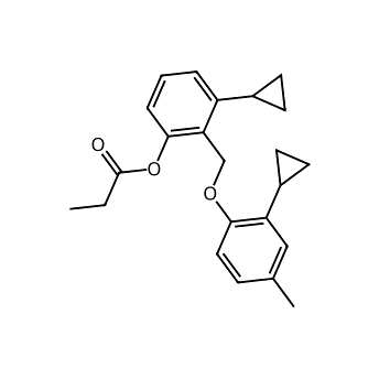 CCC(=O)Oc1cccc(C2CC2)c1COc1ccc(C)cc1C1CC1